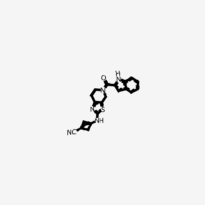 N#CC12CC(Nc3nc4c(s3)CN(C(=O)c3cc5ccccc5[nH]3)CC4)(C1)C2